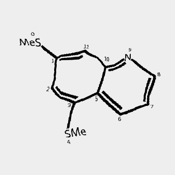 CSc1cc(SC)c2cccnc2c1